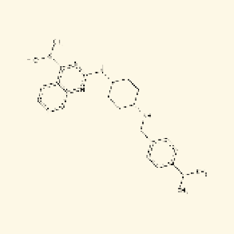 CC(C)c1ccc(CN[C@H]2CC[C@@H](Nc3nc(N(C)C)c4ccccc4n3)CC2)cc1